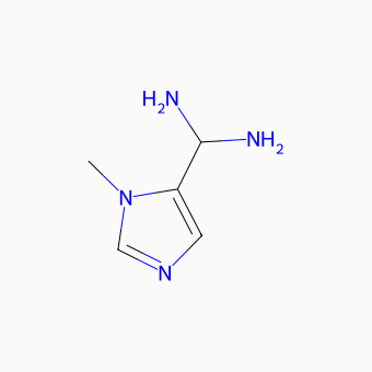 Cn1cncc1C(N)N